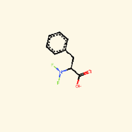 O=C(O)C(Cc1ccccc1)N(F)F